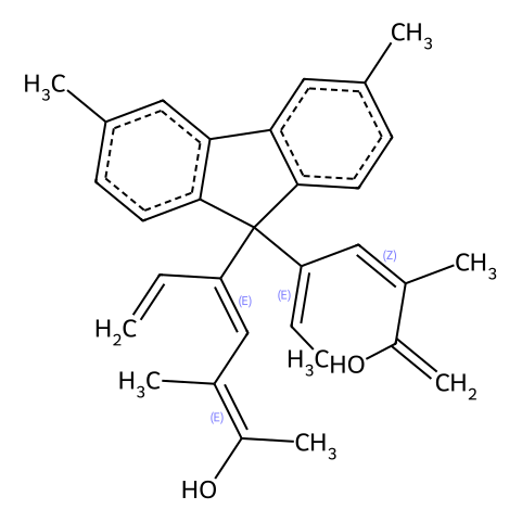 C=C/C(=C\C(C)=C(/C)O)C1(C(/C=C(/C)C(=C)O)=C/C)c2ccc(C)cc2-c2cc(C)ccc21